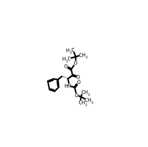 CC(C)(C)OC(=O)N[C@H](Cc1ccccc1)C(=O)C(=O)OC(C)(C)C